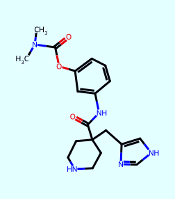 CN(C)C(=O)Oc1cccc(NC(=O)C2(Cc3c[nH]cn3)CCNCC2)c1